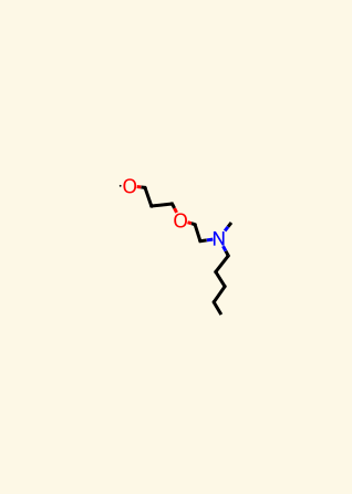 CCCCCN(C)CCOCCC[O]